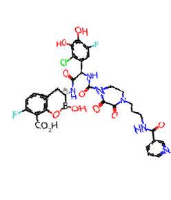 O=C(NCCCN1CCN(C(=O)NC(C(=O)N[C@H]2Cc3ccc(F)c(C(=O)O)c3OB2O)c2cc(F)c(O)c(O)c2Cl)C(=O)C1=O)c1cccnc1